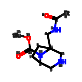 CCC(=O)NCC12CCC(CNC1)N2C(=O)OC(C)(C)C